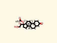 CCCC(=O)O[C@]1(C(=O)CO)CC[C@H]2[C@@H]3CCC4CC(=O)CC[C@]4(C)C3=CC[C@@]21C